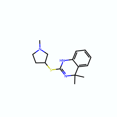 CN1CCC(SC2=NC(C)(C)c3ccccc3N2)C1